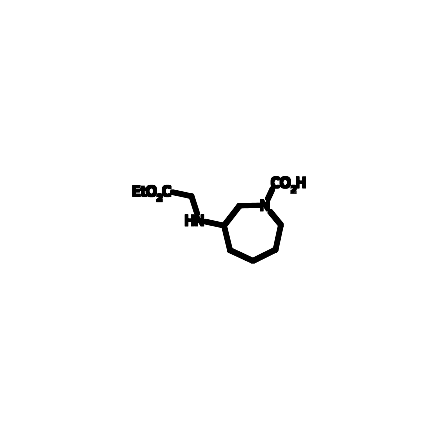 CCOC(=O)CNC1CCCCN(C(=O)O)C1